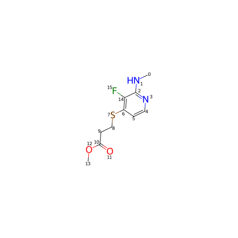 CNc1nccc(SCCC(=O)OC)c1F